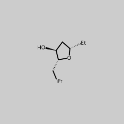 CC[C@H]1C[C@H](O)[C@@H](CC(C)C)O1